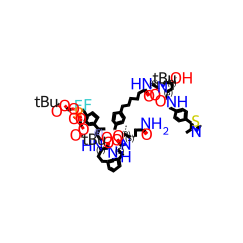 C/C(=C\C(=O)N[C@H]1CCc2cccc3c2N(C1=O)[C@H](C(=O)N[C@@H](CCC(N)=O)[C@@H](C)OCc1ccc(CCCCCC(=O)N[C@H](C(=O)N2C[C@H](O)C[C@H]2C(=O)NCc2ccc(-c4scnc4C)cc2)C(C)(C)C)cc1)C3)c1ccc(C(F)(F)P(=O)(OCOC(=O)C(C)(C)C)OCOC(=O)C(C)(C)C)cc1